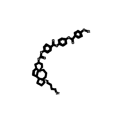 CCOc1ccc(C(=O)Oc2ccc(OC(=O)c3ccc(OC(=O)OC4CC[C@]56CCC[C@@]7(CCCCCC(C)C)CCCC7C(C=CC5C4)C6)cc3)cc2)cc1